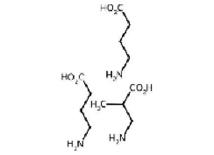 CC(CN)C(=O)O.NCCCC(=O)O.NCCCC(=O)O